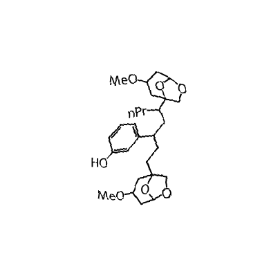 CCCC(CC(CCC12COC(CC(OC)C1)O2)c1cccc(O)c1)C12COC(CC(OC)C1)O2